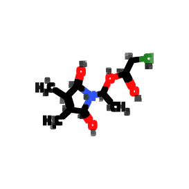 CC1=C(C)C(=O)N(C(C)OC(=O)CCl)C1=O